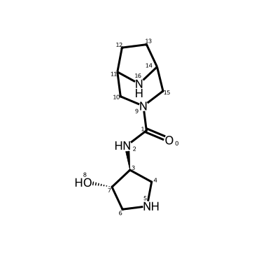 O=C(N[C@H]1CNC[C@@H]1O)N1CC2CCC(C1)N2